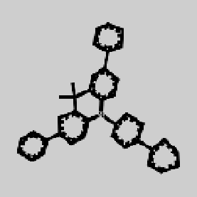 CC1(C)c2cc(-c3ccccc3)ccc2N(c2ccc(-c3ccccc3)cc2)c2ccc(-c3ccccc3)cc21